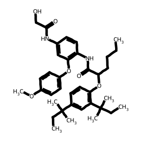 CCCCC(Oc1ccc(C(C)(C)CC)cc1C(C)(C)CC)C(=O)Nc1ccc(NC(=O)CO)cc1Oc1ccc(OC)cc1